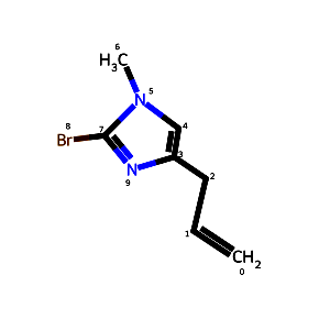 C=CCc1cn(C)c(Br)n1